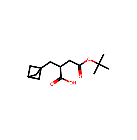 CC(C)(C)OC(=O)CC(CC12CC(C1)C2)C(=O)O